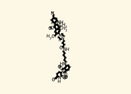 CCc1cc2c(cc1N1CCN(CCCC(=O)NCCCCCCNc3cccc4c(=C=O)n(C5CCC(=C=O)NC5=C=O)c(=C=O)c34)CC1)C(C)(C)c1[nH]c3cc(C#N)ccc3c1C2=C=O